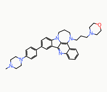 CN1CCN(c2ccc(-c3ccc4c(c3)c3nc5ccccc5c5c3n4CCCN5CCCN3CCOCC3)cc2)CC1